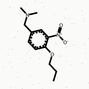 CCCOc1ccc(CN(C)C)cc1[N+](=O)[O-]